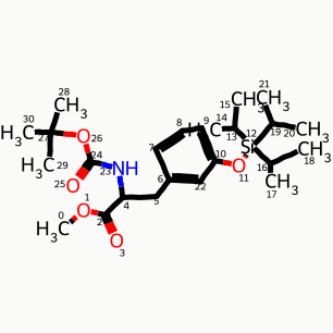 COC(=O)C(Cc1cccc(O[Si](C(C)C)(C(C)C)C(C)C)c1)NC(=O)OC(C)(C)C